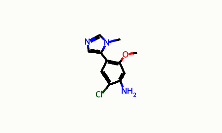 COc1cc(N)c(Cl)cc1-c1cncn1C